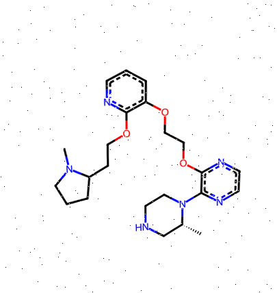 C[C@@H]1CNCCN1c1nccnc1OCCOc1cccnc1OCCC1CCCN1C